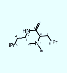 C=C(NCCC(C)C)C(CC(C)C)N(C)C